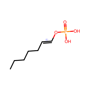 CCCCC/C=C/OP(=O)(O)O